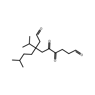 CC(C)CCC(CC=O)(CC(=O)C(=O)CCC=O)C(C)C